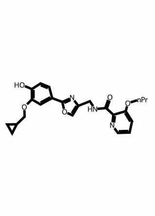 CCCOc1cccnc1C(=O)NCc1coc(-c2ccc(O)c(OCC3CC3)c2)n1